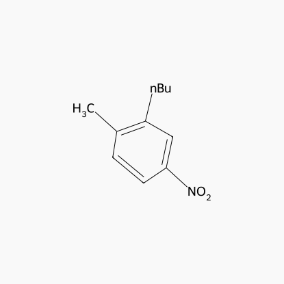 CCCCc1cc([N+](=O)[O-])ccc1C